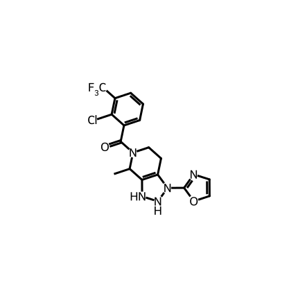 CC1C2=C(CCN1C(=O)c1cccc(C(F)(F)F)c1Cl)N(c1ncco1)NN2